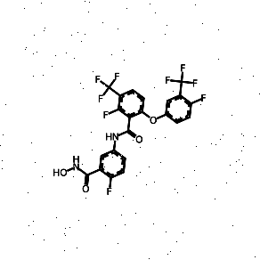 O=C(NO)c1cc(NC(=O)c2c(Oc3ccc(F)c(C(F)(F)F)c3)ccc(C(F)(F)F)c2F)ccc1F